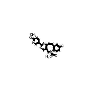 COc1ccc(-c2ncc3c(n2)C=Cc2cc(Cl)ccc2N(C(C)=O)C3)cn1